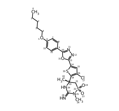 CCCCCOc1ccc(-c2nnc(-c3cc(Cl)c([C@]4(C)CS(=O)(=O)N(C)C(=N)N4)s3)o2)cc1